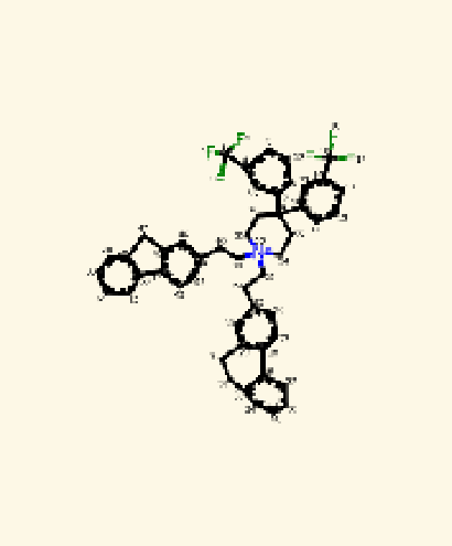 FC(F)(F)c1cccc(C2(c3cccc(C(F)(F)F)c3)CC[N+](CCc3ccc4c(c3)CCc3ccccc3-4)(CCc3ccc4c(c3)Cc3ccccc3-4)CC2)c1